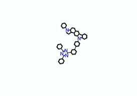 c1ccc(-c2nc(-c3ccccc3)nc(-c3cccc(-c4ccc(-n5c6ccccc6c6cc7ccc8c(ccn8-c8ccccc8)c7cc65)cc4)c3)n2)cc1